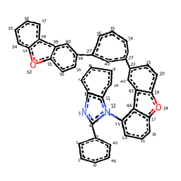 c1ccc(-c2nc3ccccc3n2-c2cccc3oc4ccc(-c5cccc(-c6ccc7oc8ccccc8c7c6)c5)cc4c23)cc1